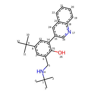 CC(C)(C)NCc1cc(C(C)(C)C)cc(-c2cnc3ccccc3c2)c1O